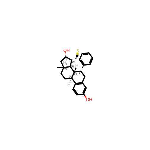 C[C@]12CC[C@@H]3c4ccc(O)cc4C[C@@H](c4ccccc4)[C@H]3[C@@H]1[C@@H](C=S)[C@@H](O)C2